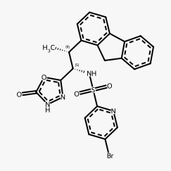 C[C@H](c1cccc2c1Cc1ccccc1-2)[C@H](NS(=O)(=O)c1ccc(Br)cn1)c1n[nH]c(=O)o1